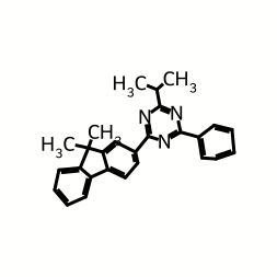 CC(C)c1nc(-c2ccccc2)nc(-c2ccc3c(c2)C(C)(C)c2ccccc2-3)n1